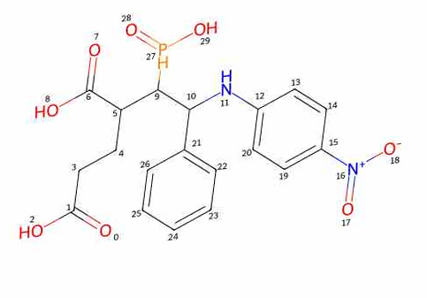 O=C(O)CCC(C(=O)O)C(C(Nc1ccc([N+](=O)[O-])cc1)c1ccccc1)[PH](=O)O